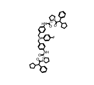 O=C(Nc1ccc(CN(Cc2ccc(NC(=O)[C@@H]3CCCN3C(=O)C(c3ccccc3)C3CCCC3)cc2)c2ccc(F)cc2)cc1)[C@@H]1CCCN1C(=O)C(c1ccccc1)C1CCCC1